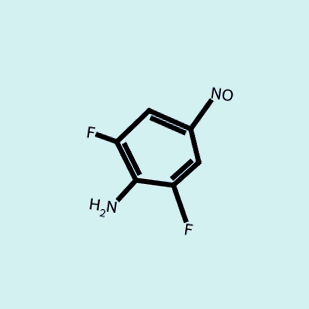 Nc1c(F)cc(N=O)cc1F